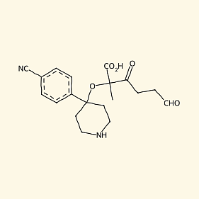 CC(OC1(c2ccc(C#N)cc2)CCNCC1)(C(=O)O)C(=O)CCC=O